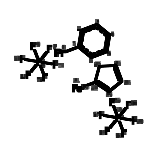 CC(C)c1ccccc1.F[P-](F)(F)(F)(F)F.F[P-](F)(F)(F)(F)F.[Fe+2][C]1=CC=CC1